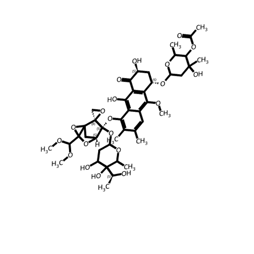 COc1c2c(c(O)c3c(O[C@]4(OC5CC(O)C(O)([C@H](C)O)C(C)O5)[C@@H]5CC6(OC6(C(OC)OC)O5)[C@]45CO5)c(C)c(C)cc13)C(=O)[C@@H](O)C[C@@H]2OC1CC(C)(O)C(OC(C)=O)C(C)O1